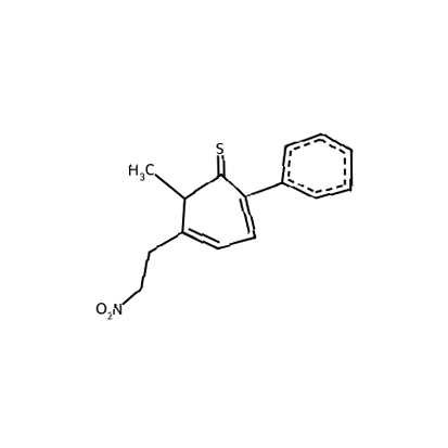 CC1C(=S)C(c2ccccc2)=CC=C1CC[N+](=O)[O-]